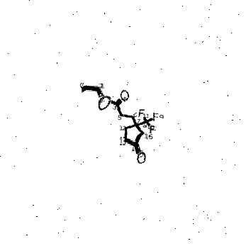 CCOC(=O)CCC1(C(F)(F)F)CCC(=O)C1